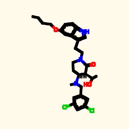 CCCCOc1ccc2[nH]cc(CCN3CC[C@H](N(C)Cc4cc(Cl)cc(Cl)c4)[C@H](C(C)O)C3=O)c2c1